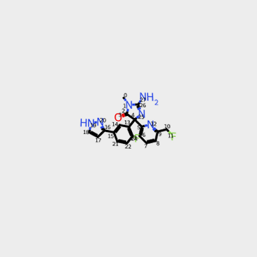 CN1C(=O)C(c2cccc(CF)n2)(c2cc(-c3cc[nH]n3)ccc2F)N=C1N